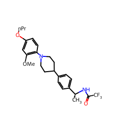 CCCOc1ccc(N2CCC(c3ccc([C@H](C)NC(=O)C(F)(F)F)cc3)CC2)c(OC)c1